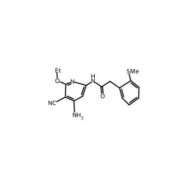 CCOc1nc(NC(=O)Cc2ccccc2SC)cc(N)c1C#N